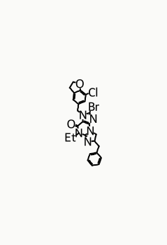 CCN1C(=O)c2c(nc(Br)n2Cc2cc(Cl)c3c(c2)CCO3)N2CC(Cc3ccccc3)N=C12